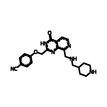 N#Cc1ccc(OCc2nc3c(CNCC4CCNCC4)nccc3c(=O)[nH]2)cc1